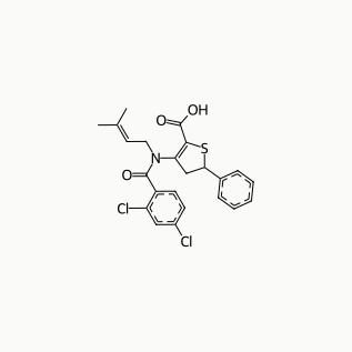 CC(C)=CCN(C(=O)c1ccc(Cl)cc1Cl)C1=C(C(=O)O)SC(c2ccccc2)C1